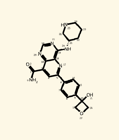 NC(=O)c1cc(-c2ccc(C3(O)COC3)cc2)nc2c(N[C@H]3CCCNC3)ncnc12